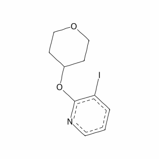 Ic1cccnc1OC1CCOCC1